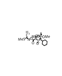 COP(=S)(OC)N(C1CCCCC1)[S+]([O-])N(C)C(=O)ON=C(C)SC